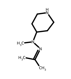 CC(C)=NN(C)C1CCNCC1